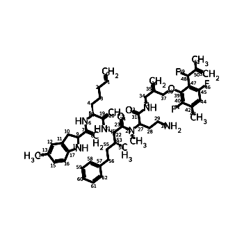 C=CCCC[C@H](NC(=C)C1Cc2cc(C)ccc2N1)C(=C)N[C@H](C(=O)N(C)C(CCN)C(=O)NCC(=C)COc1c(F)c(C)cc(F)c1C(F)C(=C)C)[C@@H](C)CCc1ccccc1